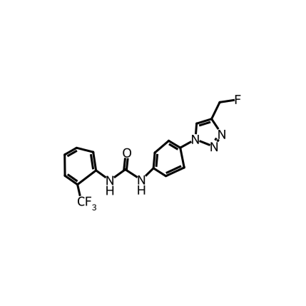 O=C(Nc1ccc(-n2cc(CF)nn2)cc1)Nc1ccccc1C(F)(F)F